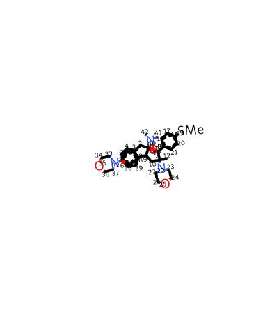 CCC(Cc1ccccc1)(C(CC(C)(C(=O)c1ccc(SC)cc1)N1CCOCC1)c1ccc(N2CCOCC2)cc1)N(C)C